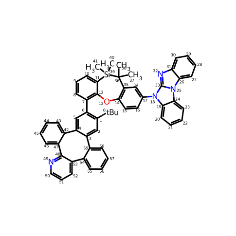 CC(C)(C)c1cc2c(cc1-c1cccc3c1Oc1ccc(-n4c5ccccc5n5c6ccccc6nc45)cc1C(C)(C)[Si]3(C)C)-c1ccccc1-c1ncccc1-c1ccccc1-2